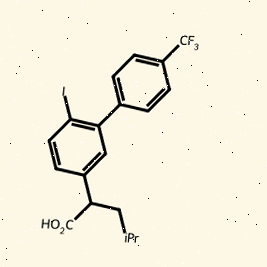 CC(C)CC(C(=O)O)c1ccc(I)c(-c2ccc(C(F)(F)F)cc2)c1